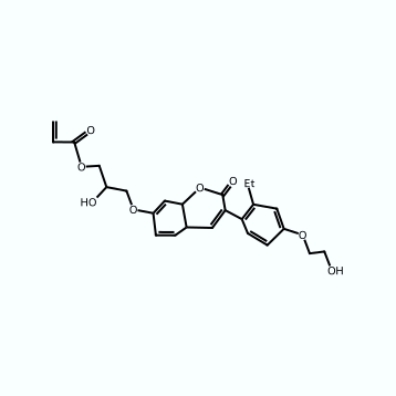 C=CC(=O)OCC(O)COC1=CC2OC(=O)C(c3ccc(OCCO)cc3CC)=CC2C=C1